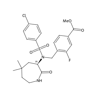 COC(=O)c1ccc(CN([C@@H]2CC(C)(C)CCNC2=O)S(=O)(=O)c2ccc(Cl)cc2)c(F)c1